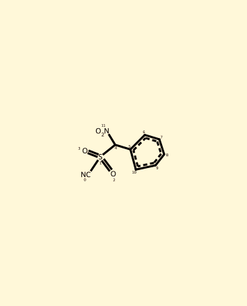 N#CS(=O)(=O)C(c1ccccc1)[N+](=O)[O-]